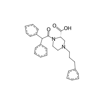 O=C(O)[C@@H]1CN(CCCc2ccccc2)CCN1C(=O)C(c1ccccc1)c1ccccc1